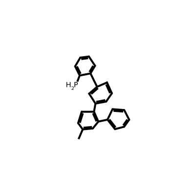 Cc1ccc(-c2cccc(-c3ccccc3P)c2)c(-c2ccccc2)c1